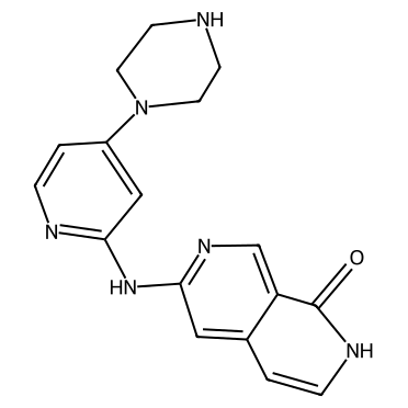 O=c1[nH]ccc2cc(Nc3cc(N4CCNCC4)ccn3)ncc12